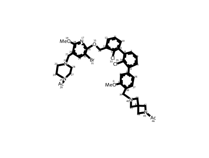 COc1cc(-c2cccc(-c3cccc(COc4nc(OC)c(CN5CCN(C(C)=O)CC5)cc4Br)c3Cl)c2Cl)ccc1CN1CC2(C1)CN(C(C)=O)C2